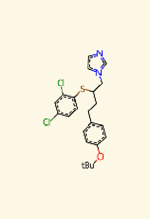 CC(C)(C)Oc1ccc(CCC(Cn2ccnc2)Sc2ccc(Cl)cc2Cl)cc1